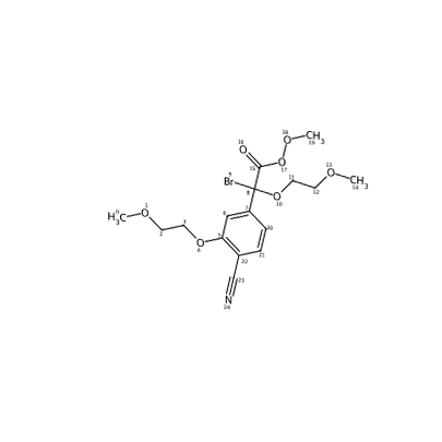 COCCOc1cc(C(Br)(OCCOC)C(=O)OOC)ccc1C#N